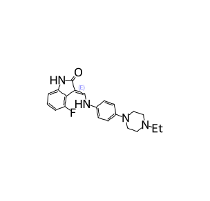 CCN1CCN(c2ccc(N/C=C3/C(=O)Nc4cccc(F)c43)cc2)CC1